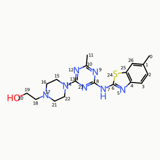 Cc1ccc2nc(Nc3nc(C)nc(N4CCN(CCO)CC4)n3)sc2c1